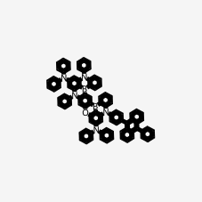 c1ccc(-c2c3ccccc3c(-c3ccc(N4c5ccccc5B5c6cc7c(cc6Oc6cc(N(c8ccccc8)c8ccccc8)cc4c65)N(c4ccccc4)c4cc(N(c5ccccc5)c5ccccc5)cc5c4B7c4ccccc4N5c4ccccc4)cc3)c3ccccc23)cc1